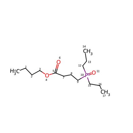 CCCCOC(=O)CCCP(=O)(CCC)CCC